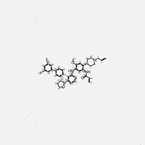 C=CCN1CCN(c2cc(OC)c(Nc3cc(N4OCC[C@@H]4c4cccc(-c5cc(F)cc(F)c5)c4)ncn3)cc2NC(=O)C=C)CC1